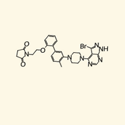 Cc1ccc(-c2ccccc2OCCN2C(=O)CCC2=O)cc1N1CCN(c2ncnc3[nH]nc(Br)c23)CC1